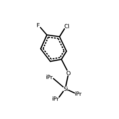 CC(C)[Si](Oc1ccc(F)c(Cl)c1)(C(C)C)C(C)C